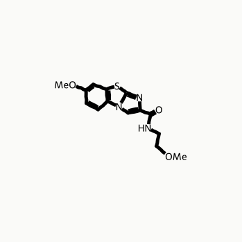 COCCNC(=O)c1cn2c(n1)sc1cc(OC)ccc12